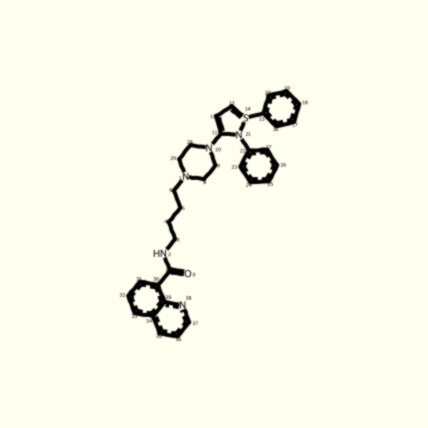 O=C(NCCCCN1CCN(C2=CC=S(c3ccccc3)N2c2ccccc2)CC1)c1cccc2cccnc12